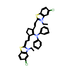 CCN1C(=CC=C2CCC(C=Cc3sc4ccc(Cl)cc4[n+]3CC)=C2N(c2ccccc2)c2ccccc2)Sc2ccc(Cl)cc21